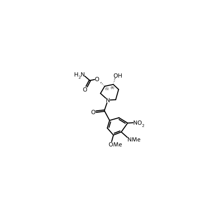 CNc1c(OC)cc(C(=O)N2CC[C@@H](O)[C@@H](OC(N)=O)C2)cc1[N+](=O)[O-]